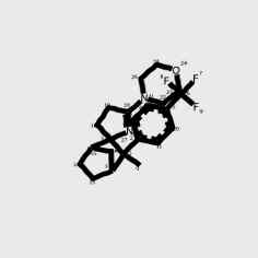 CC1(c2ccc(C(F)(F)F)cc2)C2CCC(C2)C12CCC(N1CCOCC1)=N2